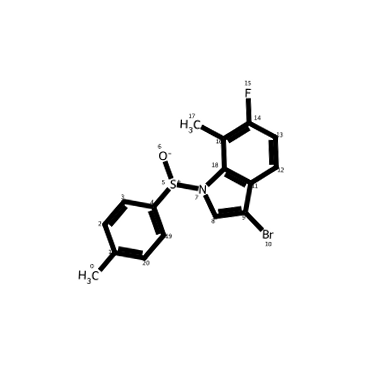 Cc1ccc([S+]([O-])n2cc(Br)c3ccc(F)c(C)c32)cc1